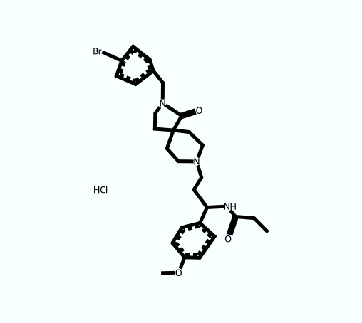 CCC(=O)NC(CCN1CCC2(CC1)CCN(Cc1ccc(Br)cc1)C2=O)c1ccc(OC)cc1.Cl